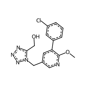 COc1ncc(Cn2nnnc2CO)cc1-c1cccc(Cl)c1